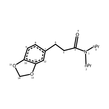 CCCN(CCC)C(=O)CCc1ccc2c(c1)OCO2